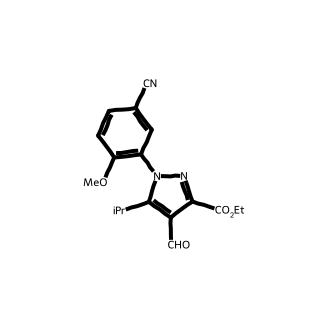 CCOC(=O)c1nn(-c2cc(C#N)ccc2OC)c(C(C)C)c1C=O